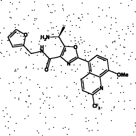 COc1ccc(-c2nc(C(=O)NCc3ccco3)c([C@H](C)N)o2)c2ccc(C(F)(F)F)nc12